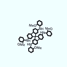 COc1ccccc1Nc1ccc2c(c1)C1(c3cc(Nc4ccccc4OC)ccc3-2)c2cc(Nc3ccccc3OC)ccc2-c2ccc(Nc3ccccc3OC)cc21